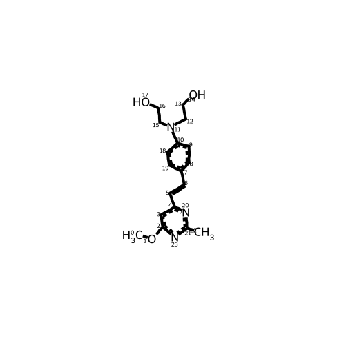 COc1cc(/C=C/c2ccc(N(CCO)CCO)cc2)nc(C)n1